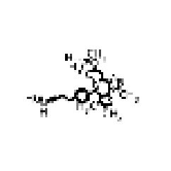 Cc1sc2c(c1C)C(c1ccc(CCC#CNO)cc1)=NC(CC(=O)OC(C)(C)C)c1nnc(C)n1-2